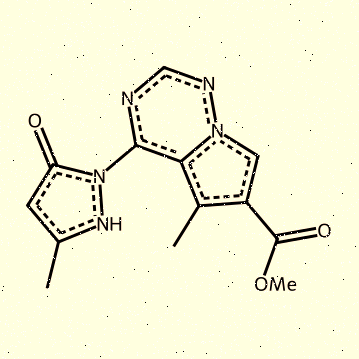 COC(=O)c1cn2ncnc(-n3[nH]c(C)cc3=O)c2c1C